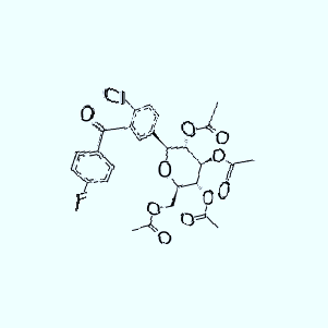 CC(=O)OC[C@H]1O[C@@H](c2ccc(Cl)c(C(=O)c3ccc(F)cc3)c2)[C@H](OC(C)=O)[C@@H](OC(C)=O)[C@@H]1OC(C)=O